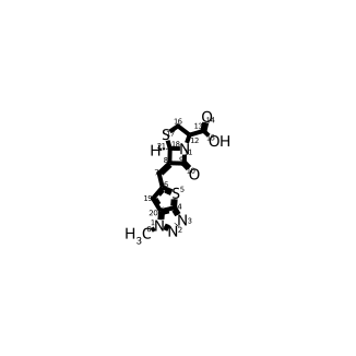 Cn1nnc2sc(C=C3C(=O)N4C(C(=O)O)CS[C@H]34)cc21